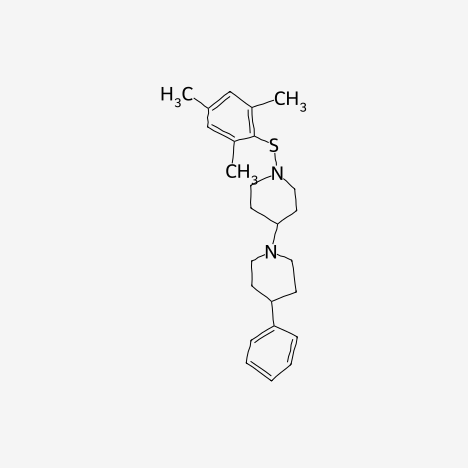 Cc1cc(C)c(SN2CCC(N3CCC(c4ccccc4)CC3)CC2)c(C)c1